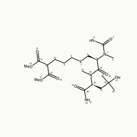 CCCC(=O)N(C)[C@H](CSCCCC(C(=O)OC)C(=O)OC)C(=O)N(C)[C@@H](CC(C)(C)O)C(N)=O